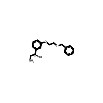 NC[C@H](O)c1cccc(OCCOCc2ccccc2)c1